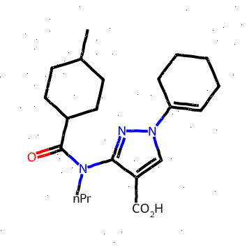 CCCN(C(=O)C1CCC(C)CC1)c1nn(C2=CCCCC2)cc1C(=O)O